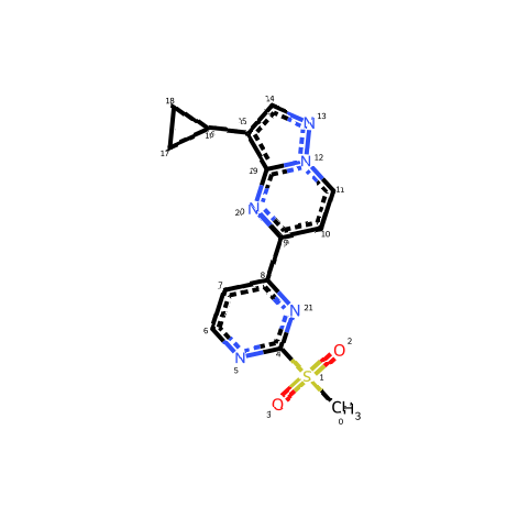 CS(=O)(=O)c1nccc(-c2ccn3ncc(C4CC4)c3n2)n1